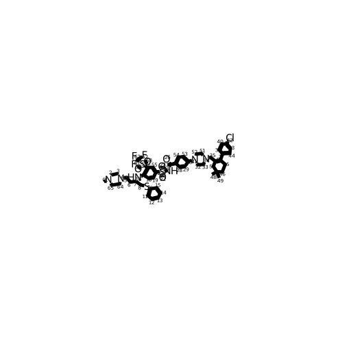 CN1CCN(CCC(CSc2ccccc2)Nc2ccc(S(=O)(=O)NC(=O)c3ccc(N4CCN(CC5=C(c6ccc(Cl)cc6)CCC(C)(C)C5)CC4)cc3)cc2S(=O)(=O)C(F)(F)F)CC1